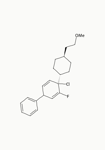 COCC[C@H]1CC[C@H](C2(Cl)C=CC(c3ccccc3)C=C2F)CC1